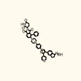 O=C1CCC(N2C(=O)c3ccc(N4CCN(c5ccc(-n6cc(-c7ccc8c(c7)CCC8=NO)c(-c7ccncc7)n6)cc5)CC4)c(-c4ccccc4)c3C2=O)C(=O)N1